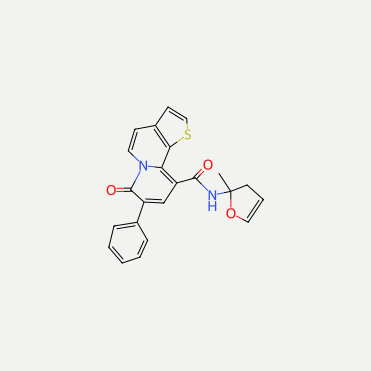 CC1(NC(=O)c2cc(-c3ccccc3)c(=O)n3ccc4ccsc4c23)CC=CO1